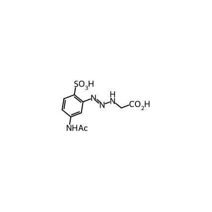 CC(=O)Nc1ccc(S(=O)(=O)O)c(N=NNCC(=O)O)c1